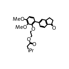 COc1ccc(-c2ccc3c(c2)CCC3=O)c(OCCOC(=O)CC(C)C)c1OC